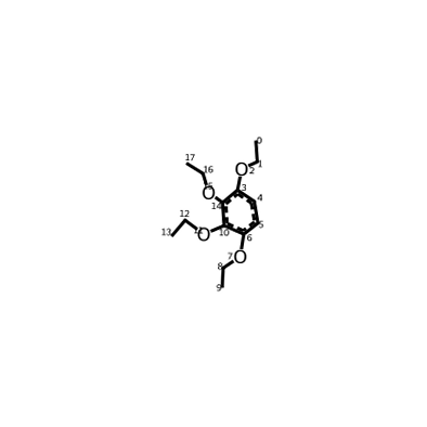 CCOc1ccc(OCC)c(OCC)c1OCC